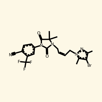 Cc1nn(C/C=C\CN2C(=O)N(c3ccc(C#N)c(C(F)(F)F)c3)C(=O)C2(C)C)c(C)c1Br